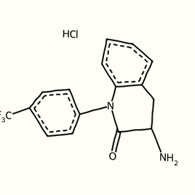 Cl.NC1Cc2ccccc2N(c2ccc(C(F)(F)F)cc2)C1=O